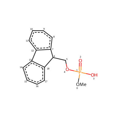 COP(=O)(O)OCC1c2ccccc2-c2ccccc21